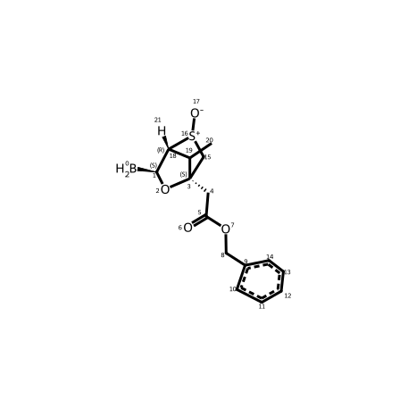 B[C@@H]1O[C@]2(CC(=O)OCc3ccccc3)C[S+]([O-])[C@@H]1C2C